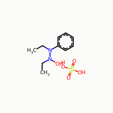 CCN(O)N(CC)c1ccccc1.O=S(=O)(O)O